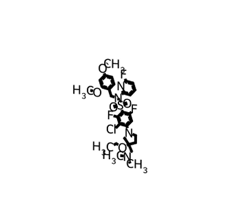 CCOC1(CN(C)C)CCN(c2cc(F)c(S(=O)(=O)N(Cc3ccc(OC)cc3OC)c3cccc(F)n3)c(F)c2Cl)C1